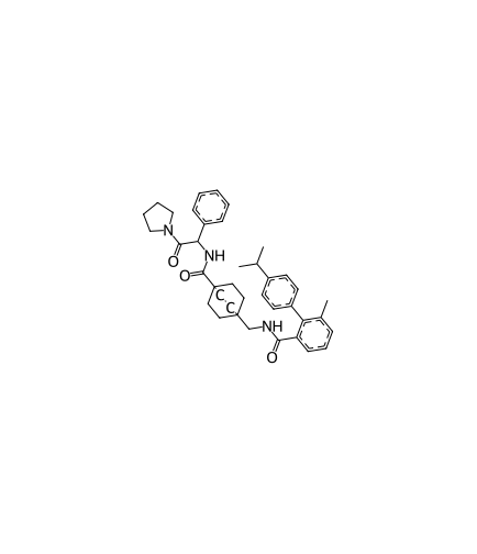 Cc1cccc(C(=O)NCC23CCC(C(=O)NC(C(=O)N4CCCC4)c4ccccc4)(CC2)CC3)c1-c1ccc(C(C)C)cc1